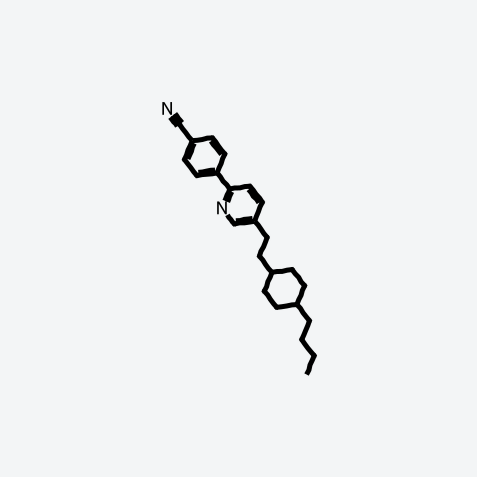 CCCCC1CCC(CCc2ccc(-c3ccc(C#N)cc3)nc2)CC1